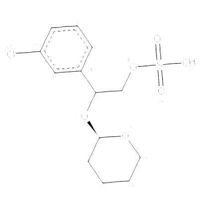 CS(=O)(=O)OCC(O[C@@H]1CCCCO1)c1cccc(Cl)c1